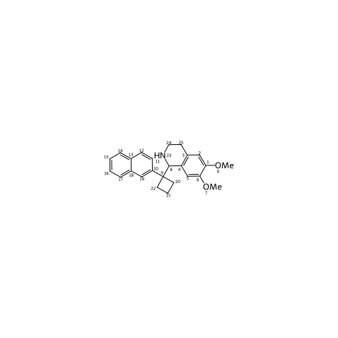 COc1cc2c(cc1OC)C(C1(c3ccc4ccccc4c3)CCC1)NCC2